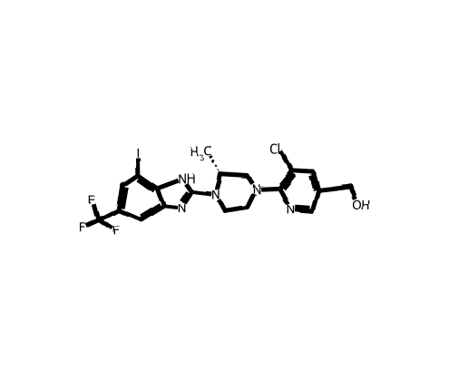 C[C@@H]1CN(c2ncc(CO)cc2Cl)CCN1c1nc2cc(C(F)(F)F)cc(I)c2[nH]1